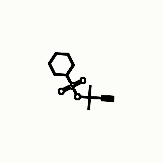 C#CC(C)(C)OS(=O)(=O)C1CCCCC1